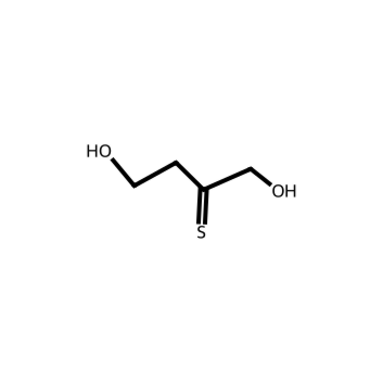 OCCC(=S)CO